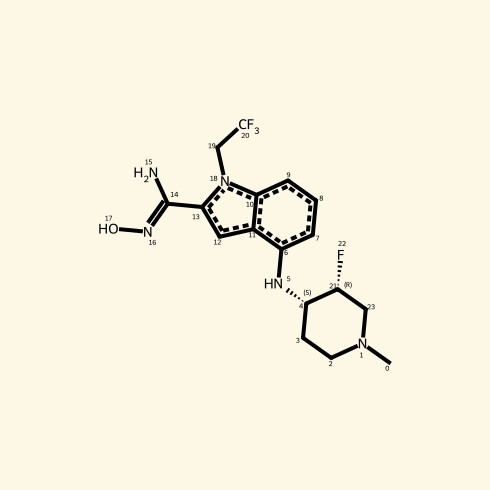 CN1CC[C@H](Nc2cccc3c2cc(C(N)=NO)n3CC(F)(F)F)[C@H](F)C1